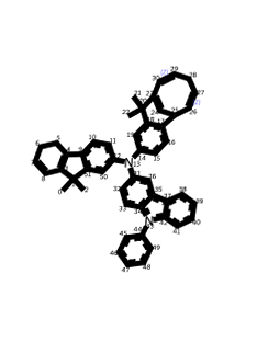 CC1(C)C2=C(CCC=C2)c2ccc(N(c3ccc4c(c3)C(C)(C)C3=CC4/C=C\C/C=C\3)c3ccc4c(c3)c3ccccc3n4-c3ccccc3)cc21